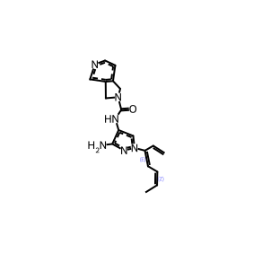 C=C/C(=C\C=C/C)n1cc(NC(=O)N2Cc3ccncc3C2)c(N)n1